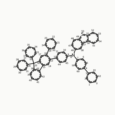 c1ccc(-c2ccc(N(c3ccc(-c4cc5c(cc4-c4ccccc4)C(c4ccccc4)(c4ccccc4)c4ccccc4-5)cc3)c3ccc4sc5ccccc5c4c3)cc2)cc1